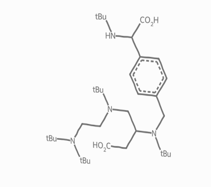 CC(C)(C)NC(C(=O)O)c1ccc(CN(C(CC(=O)O)CN(CCN(C(C)(C)C)C(C)(C)C)C(C)(C)C)C(C)(C)C)cc1